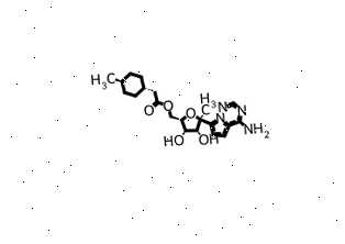 C[C@@]1(c2ccc3c(N)ncnn23)O[C@H](COC(=O)C[C@H]2CC[C@H](C)CC2)[C@@H](O)[C@H]1O